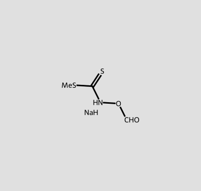 CSC(=S)NOC=O.[NaH]